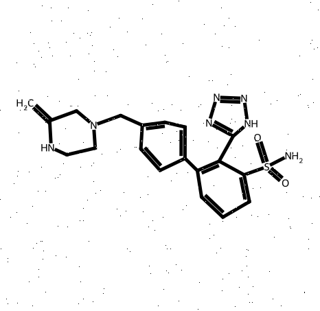 C=C1CN(Cc2ccc(-c3cccc(S(N)(=O)=O)c3-c3nnn[nH]3)cc2)CCN1